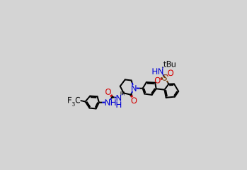 CC(C)(C)NS(=O)(=O)c1ccccc1-c1ccc(N2CCC[C@@H](NC(=O)Nc3ccc(C(F)(F)F)cc3)C2=O)cc1